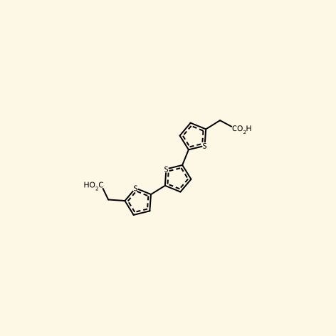 O=C(O)Cc1ccc(-c2ccc(-c3ccc(CC(=O)O)s3)s2)s1